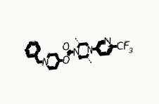 C[C@@H]1CN(c2ccc(C(F)(F)F)nc2)[C@H](C)CN1C(=O)OC1CCN(Cc2ccccc2)CC1